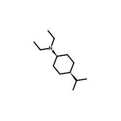 CCN(CC)[C@H]1CC[C@@H](C(C)C)CC1